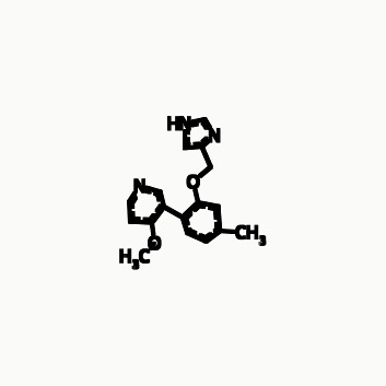 COc1ccncc1-c1ccc(C)cc1OCc1c[nH]cn1